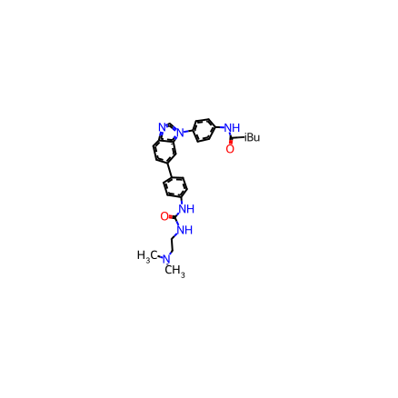 CCC(C)C(=O)Nc1ccc(-n2cnc3ccc(-c4ccc(NC(=O)NCCN(C)C)cc4)cc32)cc1